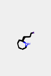 ICCCC1CCCCCN1